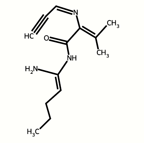 C#C/C=N\C(C(=O)N/C(N)=C/CCC)=C(C)C